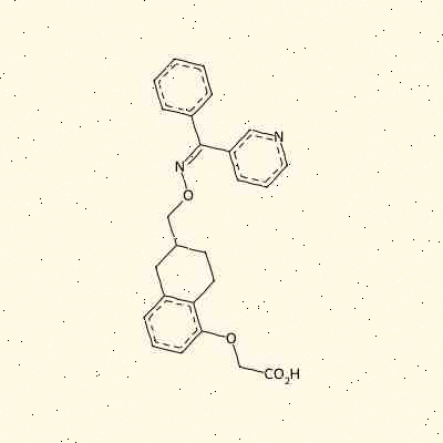 O=C(O)COc1cccc2c1CCC(CO/N=C(/c1ccccc1)c1cccnc1)C2